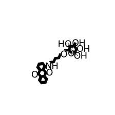 O=C1c2ccccc2C(=O)c2c(NCCCCCOCC3O[C@@H](O)C(O)C(O)[C@H]3O)cccc21